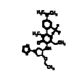 CCO[C@H]1CN(c2nccs2)C[C@H]1Nc1c(CC)nc(-c2ccc(N(C)C)cc2C(F)(F)F)n(C)c1=O